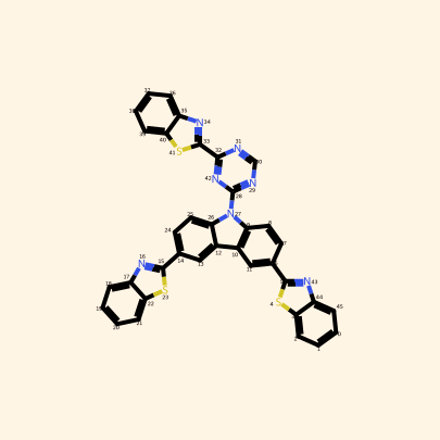 c1ccc2sc(-c3ccc4c(c3)c3cc(-c5nc6ccccc6s5)ccc3n4-c3ncnc(-c4nc5ccccc5s4)n3)nc2c1